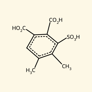 Cc1cc(C(=O)O)c(C(=O)O)c(S(=O)(=O)O)c1C